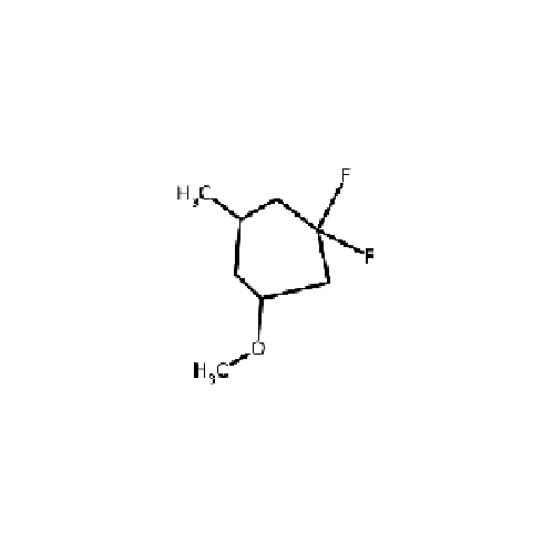 COC1CC(C)CC(F)(F)C1